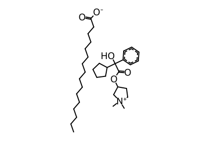 CCCCCCCCCCCCCCCC(=O)[O-].C[N+]1(C)CCC(OC(=O)C(O)(c2ccccc2)C2CCCC2)C1